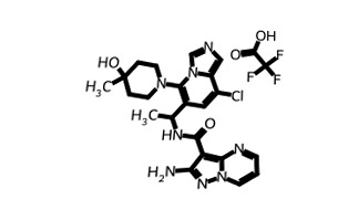 CC(NC(=O)c1c(N)nn2cccnc12)c1cc(Cl)c2cncn2c1N1CCC(C)(O)CC1.O=C(O)C(F)(F)F